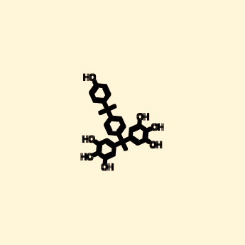 CC(C)(c1ccc(O)cc1)c1ccc(C(C)(c2cc(O)c(O)c(O)c2)c2cc(O)c(O)c(O)c2)cc1